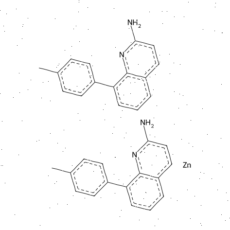 Cc1ccc(-c2cccc3ccc(N)nc23)cc1.Cc1ccc(-c2cccc3ccc(N)nc23)cc1.[Zn]